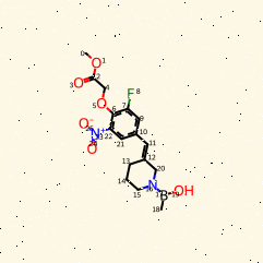 COC(=O)COc1c(F)cc(/C=C2\CCCN(B(C)O)C2)cc1[N+](=O)[O-]